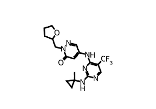 CC1(Nc2ncc(C(F)(F)F)c(Nc3cnn(CC4CCCO4)c(=O)c3)n2)CC1